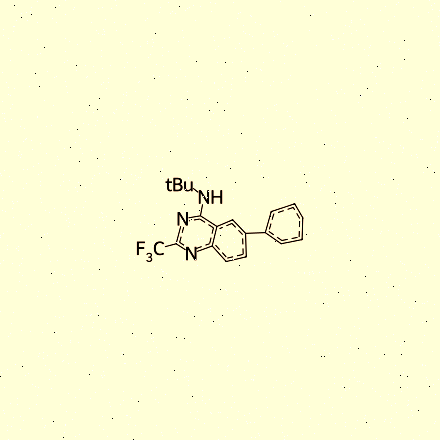 CC(C)(C)Nc1nc(C(F)(F)F)nc2ccc(-c3ccccc3)cc12